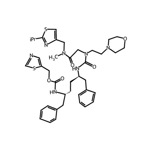 CC(C)c1nc(CN(C)C(=O)CN(CCN2CCOCC2)C(=O)N[C@H](CC[C@H](Cc2ccccc2)NC(=O)OCc2cncs2)Cc2ccccc2)cs1